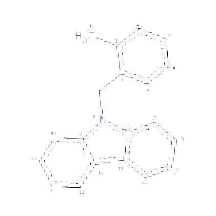 Cc1ccccc1Cn1c2ccccc2c2ccccc21